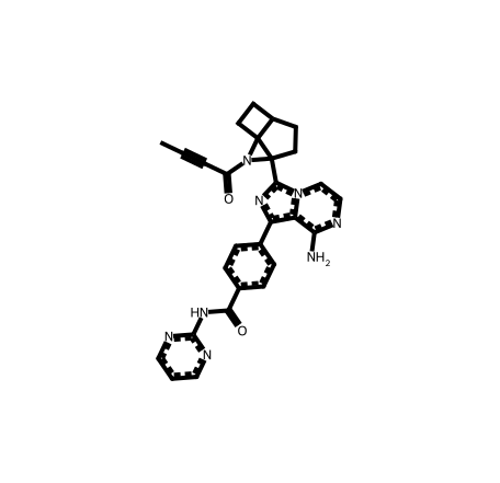 CC#CC(=O)N1C2(c3nc(-c4ccc(C(=O)Nc5ncccn5)cc4)c4c(N)nccn34)CCC3CCC312